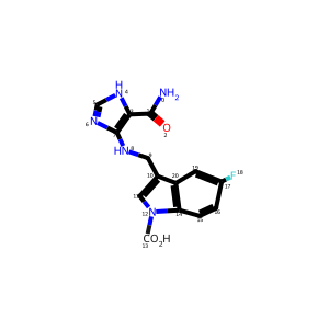 NC(=O)c1[nH]cnc1NCc1cn(C(=O)O)c2ccc(F)cc12